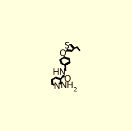 CCc1csc(Oc2ccc(CNC(=O)c3cccnc3N)cc2)c1